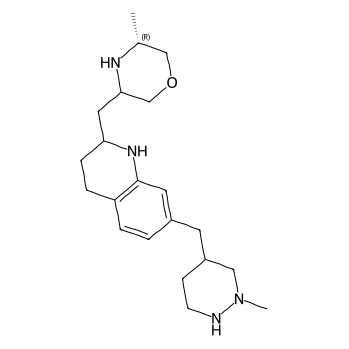 C[C@@H]1COCC(CC2CCc3ccc(CC4CCNN(C)C4)cc3N2)N1